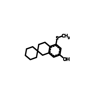 CSc1cc(O)cc2c1CCC1(CCCCC1)C2